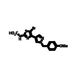 COc1ccc(Cn2cc(-c3nc(NC(=O)O)sc3Br)cn2)cc1